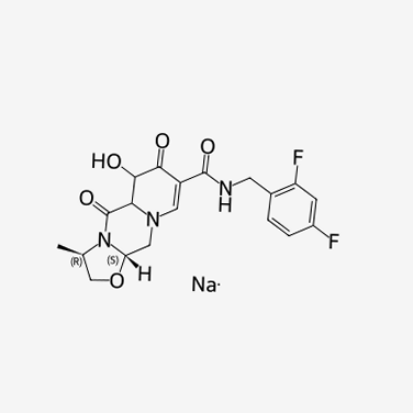 C[C@@H]1CO[C@H]2CN3C=C(C(=O)NCc4ccc(F)cc4F)C(=O)C(O)C3C(=O)N12.[Na]